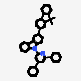 CC1(C)c2ccccc2-c2ccc(-c3ccc4c(c3)c3ccccc3n4-c3cc(-c4ccccc4)cc(-c4ccccc4)n3)cc21